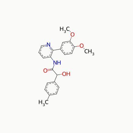 COc1ccc(-c2ncccc2NC(=O)C(O)c2ccc(C)cc2)cc1OC